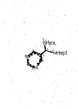 CCCCCCCC(CCCCCC)c1cncnc1